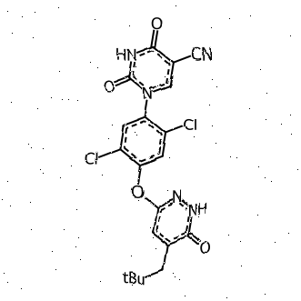 CC(C)(C)Cc1cc(Oc2cc(Cl)c(-n3cc(C#N)c(=O)[nH]c3=O)cc2Cl)n[nH]c1=O